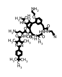 Cc1nc(-c2ccc(C(C)(C)C)cc2)nc(C)c1C(=O)NC(CCN)C(=O)N(C)C1C(=O)NC(C)C(=O)NC(C(=O)NCC#N)Cc2ccc(OCCN)c(c2)-c2cc1cc(NC(N)=O)c2O